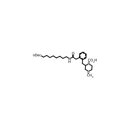 CCCCCCCCCCCCCCCCCCNC(=O)Cc1ccccc1CC1CN(C)CCN1C(=O)O